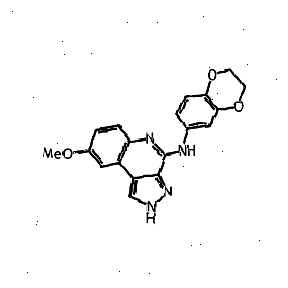 COc1ccc2nc(Nc3ccc4c(c3)OCCO4)c3n[nH]cc3c2c1